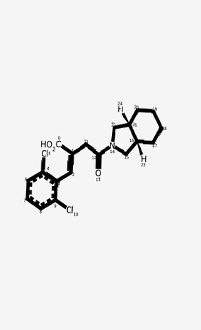 O=C(O)C(=Cc1c(Cl)cccc1Cl)CC(=O)N1C[C@H]2CCCC[C@H]2C1